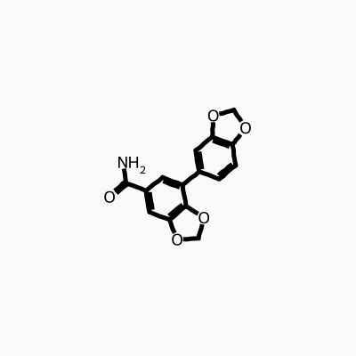 NC(=O)c1cc2c(c(-c3ccc4c(c3)OCO4)c1)OCO2